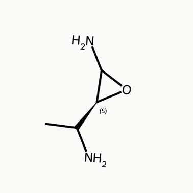 CC(N)[C@@H]1OC1N